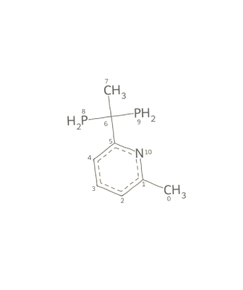 Cc1cccc(C(C)(P)P)n1